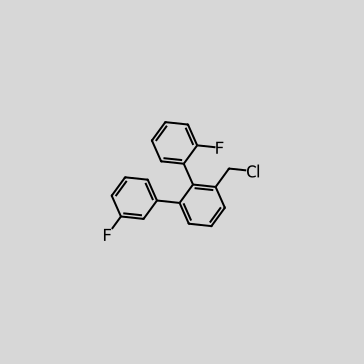 Fc1cccc(-c2cccc(CCl)c2-c2ccccc2F)c1